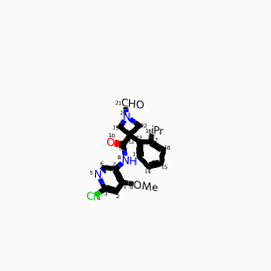 COc1cc(Cl)ncc1NC(=O)C1(c2ccccc2C(C)C)CN(C=O)C1